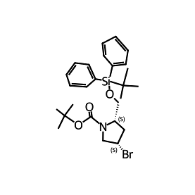 CC(C)(C)OC(=O)N1C[C@@H](Br)C[C@H]1CO[Si](c1ccccc1)(c1ccccc1)C(C)(C)C